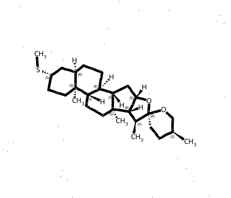 CS[C@H]1CC[C@@]2(C)[C@H](CC[C@@H]3[C@@H]2CC[C@]2(C)[C@@H]4[C@H](C[C@@H]32)O[C@]2(CC[C@H](C)CO2)[C@H]4C)C1